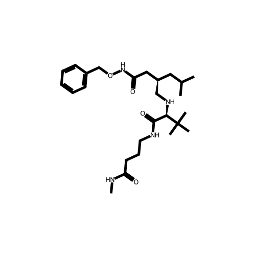 CNC(=O)CCCNC(=O)[C@@H](NC[C@@H](CC(=O)NOCc1ccccc1)CC(C)C)C(C)(C)C